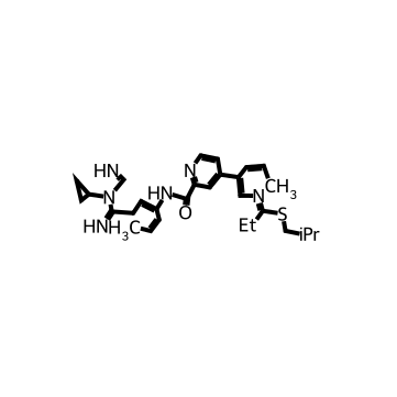 C/C=C\C(=C/CC(=N)N(C=N)C1CC1)NC(=O)c1cc(C(/C=C\C)=C/N=C(\CC)SCC(C)C)ccn1